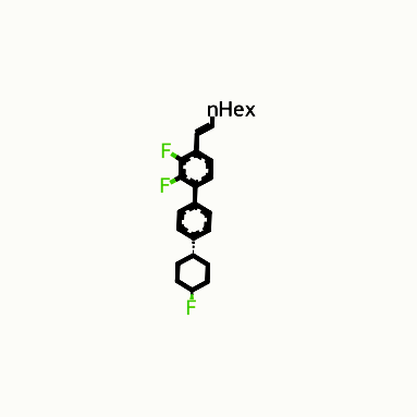 CCCCCCC=Cc1ccc(-c2ccc([C@H]3CC[C@H](F)CC3)cc2)c(F)c1F